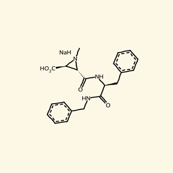 CN1[C@H](C(=O)O)[C@H]1C(=O)N[C@@H](Cc1ccccc1)C(=O)NCc1ccccc1.[NaH]